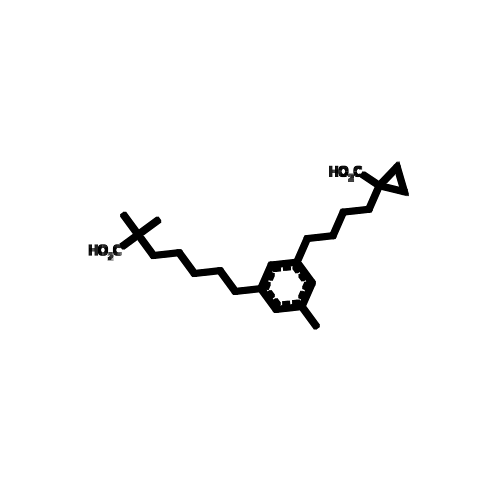 Cc1cc(CCCCCC(C)(C)C(=O)O)cc(CCCCC2(C(=O)O)CC2)c1